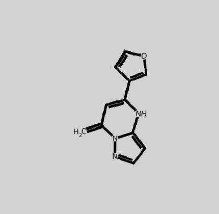 C=C1C=C(c2ccoc2)Nc2ccnn21